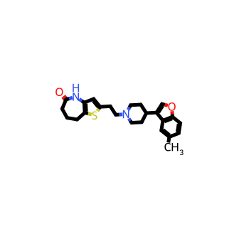 Cc1ccc2occ(C3CCN(CCc4cc5c(s4)CCCC(=O)N5)CC3)c2c1